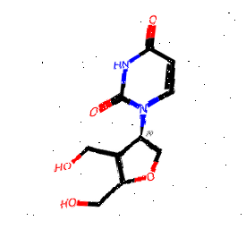 O=c1ccn([C@H]2COC(CO)C2CO)c(=O)[nH]1